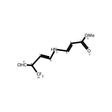 COC(=O)C=CNC=CC(C=O)C(F)(F)F